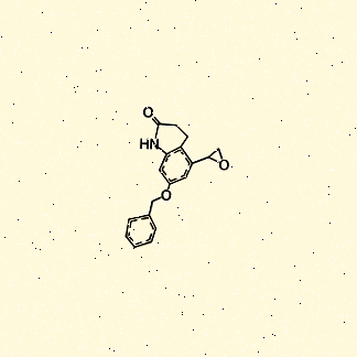 O=C1CCc2c(cc(OCc3ccccc3)cc2C2CO2)N1